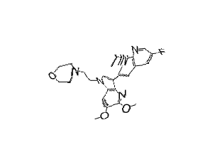 COc1cc2c(nc1OC)c(-c1cc3cc(F)cnc3[nH]1)cn2CCN1CCOCC1